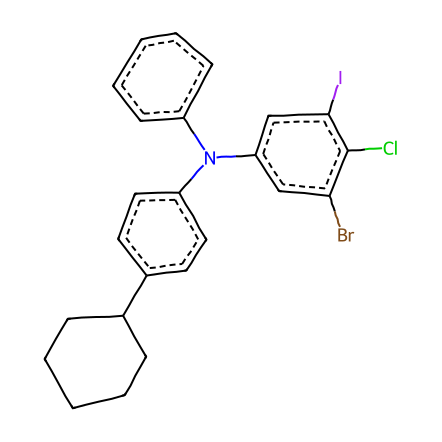 Clc1c(Br)cc(N(c2ccccc2)c2ccc(C3CCCCC3)cc2)cc1I